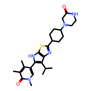 Cc1c(-c2[nH]c3sc(C4CCC(N5CCNC(=O)C5)CC4)nc3c2C(C)C)cn(C)c(=O)c1C